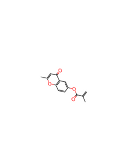 C=C(C)C(=O)Oc1ccc2oc(C)cc(=O)c2c1